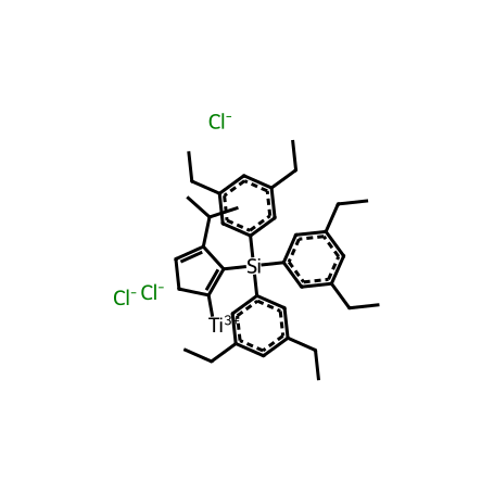 CCc1cc(CC)cc([Si](C2=[C]([Ti+3])CC=C2C(C)C)(c2cc(CC)cc(CC)c2)c2cc(CC)cc(CC)c2)c1.[Cl-].[Cl-].[Cl-]